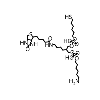 NCCCCCCOP(=O)(O)OCC(CCCCNC(=O)CCCCC1SCC2NC(=O)NC21)COP(=O)(O)OCCCCCCS